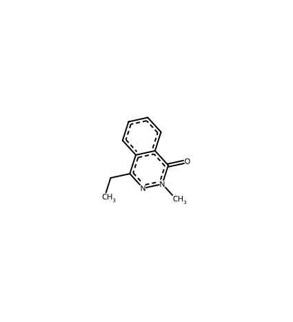 CCc1nn(C)c(=O)c2ccccc12